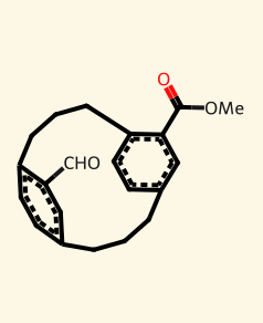 COC(=O)c1cc2ccc1CCCc1ccc(cc1C=O)CCC2